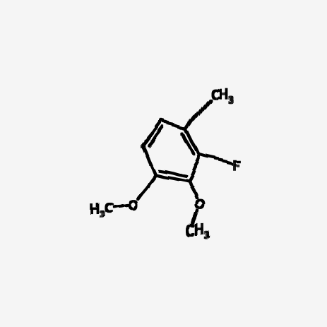 COc1ccc(C)c(F)c1OC